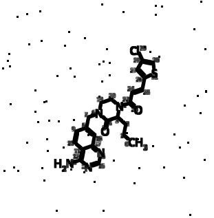 CCCC1C(=O)N(Cc2ccc3c(N)ncnc3c2)CCN1C(=O)/C=C/c1cc(Cl)cs1